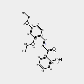 CCOc1ccc(/C=C/C(=O)c2ccccc2O)c(OCC)c1